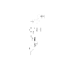 O=C(NC1CC[C@H]2CC3CC(O)(CC31)C2)C1CCN(C(=O)Cc2ccc(F)cc2F)CC1